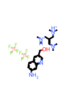 CN(C)C=C(C[NH+](C)C)C[NH+](C)C.F[B-](F)(F)F.F[B-](F)(F)F.Nc1ccc2cc(CO)cnc2c1